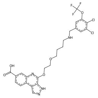 O=C(O)c1ccc2c(c1)nc(OCCOCCCCNCc1cc(Cl)c(Cl)c(OC(F)(F)F)c1)c1[nH]ncc12